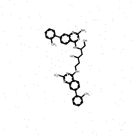 Cc1ccccc1-c1ccc2c(NCCC(O)CC(CO)Nc3nc(N)nc4cc(-c5ccccc5C)ccc34)nc(N)nc2c1